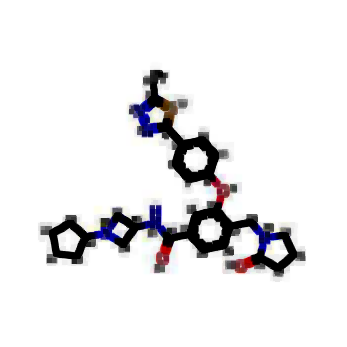 CC(C)c1nnc(-c2ccc(Oc3cc(C(=O)NC4CN(C5CCCC5)C4)ccc3CN3CCCC3=O)cc2)s1